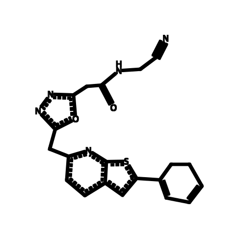 N#CCNC(=O)Cc1nnc(Cc2ccc3cc(C4=CC=CCC4)sc3n2)o1